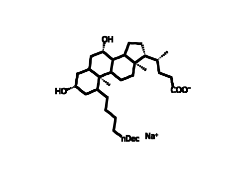 CCCCCCCCCCCCCCC1C[C@H](O)CC2C[C@H](O)C3C(CC[C@@]4(C)C3CC[C@@H]4[C@H](C)CCC(=O)[O-])[C@@]12C.[Na+]